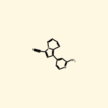 N#Cc1cc(-c2ccnc(N)c2)c2ccccn12